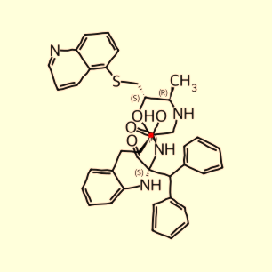 C[C@H]1NC[C@@H](CCc2ccccc2N[C@](C=O)(NC(=O)O)C(c2ccccc2)c2ccccc2)O[C@@H]1CSc1cccc2ncccc12